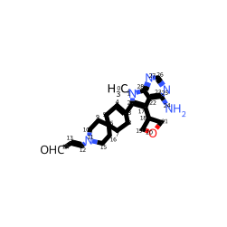 Cn1c(C2=CCC3(CC2)CCN(C=CC=O)CC3)c(C2COC2)c2c(N)ncnc21